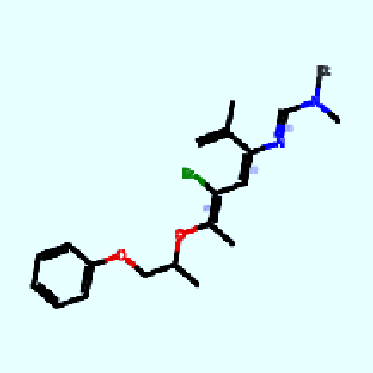 C=C(C)C(=C\C(Br)=C(/C)OC(C)COc1ccccc1)/N=C/N(C)CC